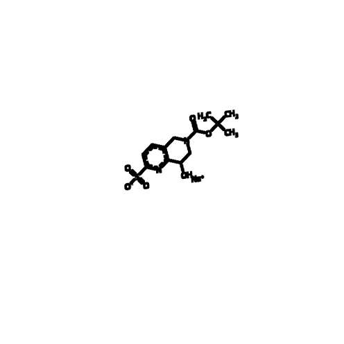 CC(C)(C)OC(=O)N1Cc2ccc(S(=O)(=O)[O-])nc2C(O)C1.[Na+]